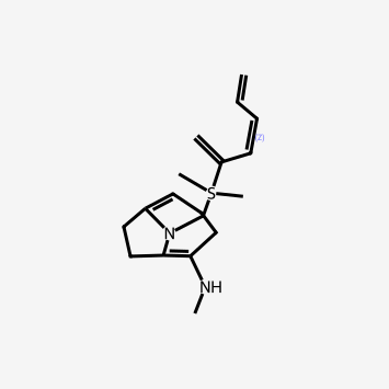 C=C/C=C\C(=C)S(C)(C)CN1C2=CCCC(NC)=C1CC2